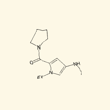 CCn1cc(NI)cc1C(=O)N1CCCC1